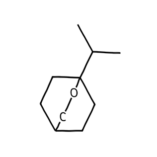 CC(C)C12CCC(CC1)CO2